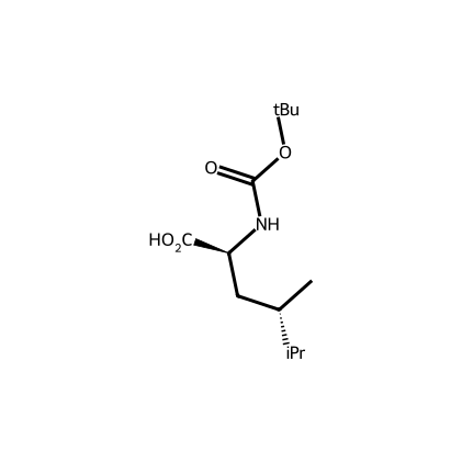 CC(C)[C@@H](C)C[C@H](NC(=O)OC(C)(C)C)C(=O)O